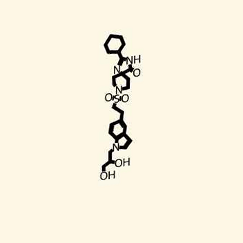 O=C1NC(C2CCCCC2)=NC12CCN(S(=O)(=O)CCc1ccc3c(ccn3CC(O)CO)c1)CC2